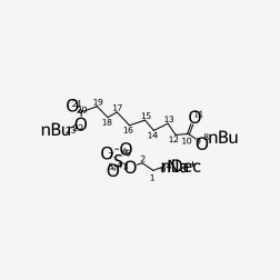 CCCCCCCCCCCCOS(=O)(=O)[O-].CCCCOC(=O)CCCCCCCCC(=O)OCCCC.[Na+]